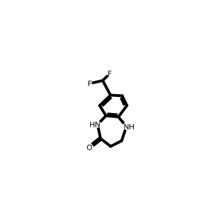 O=C1CCNc2ccc(C(F)F)cc2N1